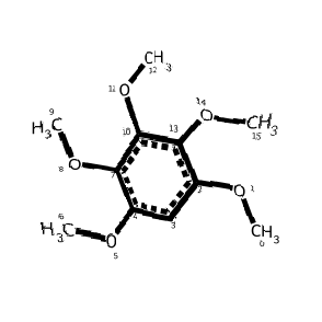 COc1[c]c(OC)c(OC)c(OC)c1OC